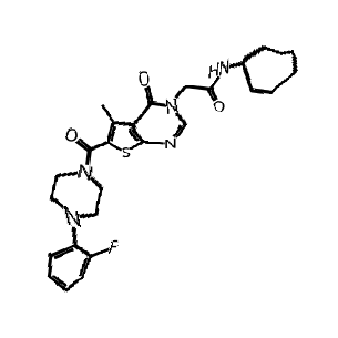 Cc1c(C(=O)N2CCN(c3ccccc3F)CC2)sc2ncn(CC(=O)NC3CCCCC3)c(=O)c12